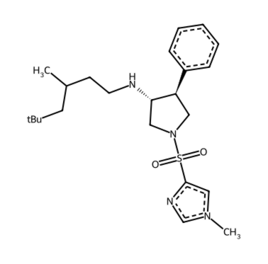 CC(CCN[C@H]1CN(S(=O)(=O)c2cn(C)cn2)C[C@@H]1c1ccccc1)CC(C)(C)C